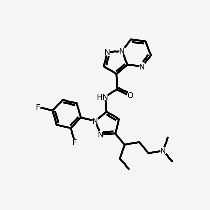 CCC(CCN(C)C)c1cc(NC(=O)c2cnn3cccnc23)n(-c2ccc(F)cc2F)n1